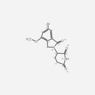 COc1cc(Br)cc2c1CN(C1CCC(=O)NC1=O)C2=O